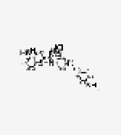 Cl.Cl.Cl.Nc1ccc(CCCN2CCC(NC(=O)C3=Cc4n[nH]c5cccc(c45)S3)CC2)cc1